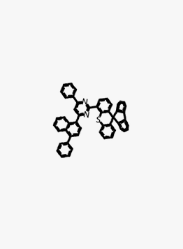 c1ccc(-c2cc(-c3ccc(-c4ccccc4)c4ccccc34)nc(-c3cccc4c3Sc3ccccc3C43c4ccccc4-c4ccccc43)n2)cc1